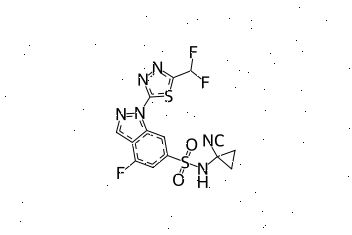 N#CC1(NS(=O)(=O)c2cc(F)c3cnn(-c4nnc(C(F)F)s4)c3c2)CC1